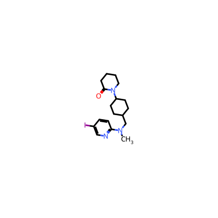 CN(CC1CCC(N2CCCCC2=O)CC1)c1ccc(I)cn1